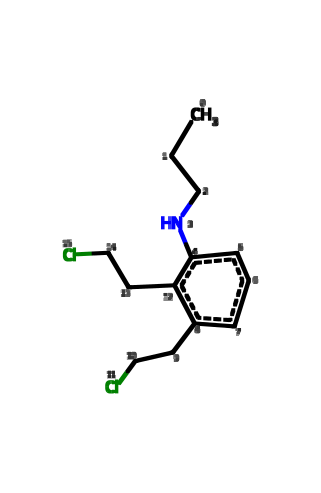 CCCNc1cccc(CCCl)c1CCCl